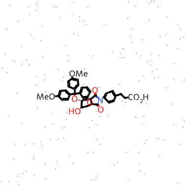 COc1ccc(C(O[C@@H]2C3OC(C4C(=O)N(c5ccc(CCC(=O)O)cc5)C(=O)C43)[C@@H]2O)(c2ccccc2)c2ccc(OC)cc2)cc1